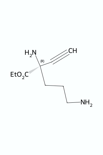 C#C[C@](N)(CCCN)C(=O)OCC